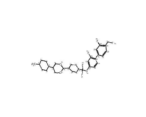 CC1CCC(C2COC(C3CCC(C(F)(F)Oc4ccc(-c5ccc(CF)c(F)c5)c(F)c4)CC3)OC2)CC1